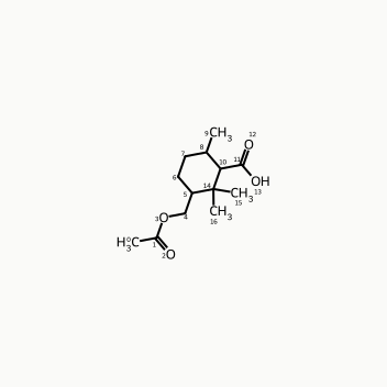 CC(=O)OCC1CCC(C)C(C(=O)O)C1(C)C